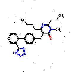 CCCCc1nc(CCC)n(C)c(=O)c1Cc1ccc(-c2ccccc2-c2nnn[nH]2)cc1